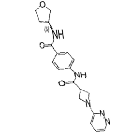 O=C(N[C@H]1CCOC1)c1ccc(NC(=O)C2CN(c3cccnn3)C2)cc1